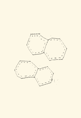 S.c1ccc2ccccc2c1.c1ccc2ccccc2c1